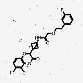 NC(=O)C(Oc1ccc(Cl)c(Cl)c1)C12CC(NC(=O)COCCc3cccc(F)c3)(C1)C2